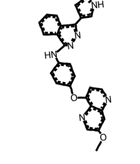 COc1cnc2c(Oc3ccc(Nc4nnc(-c5cn[nH]c5)c5ccccc45)cc3)ccnc2c1